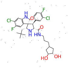 CC(C)(C)C[C@H]1N[C@@H](C(=O)NCCCC2C[C@H](O)[C@@H](O)C2)[C@H](c2ccc(F)c(Cl)c2)[C@@]12C(=O)Nc1cc(Cl)c(F)cc12